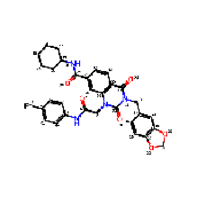 CC(C)c1ccc(NC(=O)Cn2c(=O)n(Cc3ccc4c(c3)OCO4)c(=O)c3ccc(C(=O)NC4CCCCC4)cc32)cc1